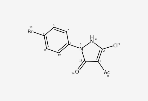 CC(=O)c1c(Cl)[nH]n(-c2ccc(Br)cc2)c1=O